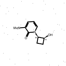 CNc1cccn([C@@H]2CC[C@@H]2O)c1=O